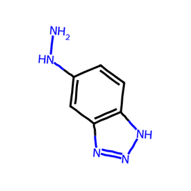 NNc1ccc2[nH]nnc2c1